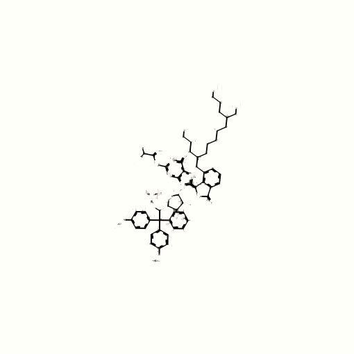 CCCCC(CC)CCCCCC(CCCC)Cc1cccc2c1C(=O)N(O[C@@H]1[C@H](O)[C@@H](C(OP(N)O)C(c3ccccc3)(c3ccc(OC)cc3)c3ccc(OC)cc3)O[C@H]1n1cnc3c(=O)[nH]c(NC(=O)C(C)C)nc31)C2=O